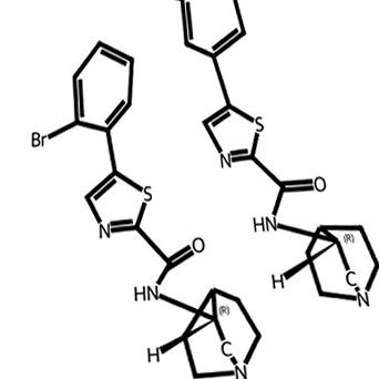 O=C(N[C@H]1CN2CCC1CC2)c1ncc(-c2cccc(Br)c2)s1.O=C(N[C@H]1CN2CCC1CC2)c1ncc(-c2ccccc2Br)s1